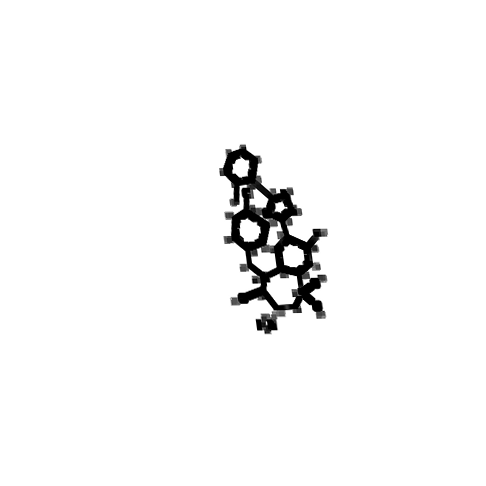 Cc1ccccc1-c1nnc(-c2cc3c(cc2F)S(=O)(=O)C[C@H](N)C(=O)N3Cc2ccc(Cl)cc2)o1